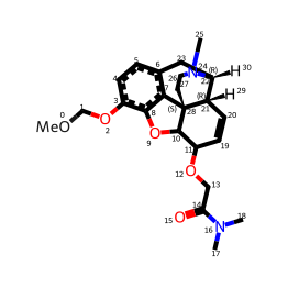 COCOc1ccc2c3c1OC1C(OCC(=O)N(C)C)C=C[C@H]4[C@@H](C2)N(C)CC[C@]314